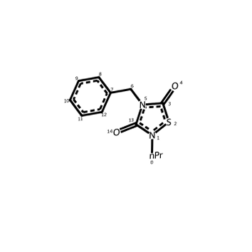 CCCn1sc(=O)n(Cc2ccccc2)c1=O